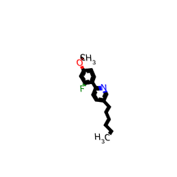 CCCCCCc1ccc(-c2ccc(OC)cc2F)nc1